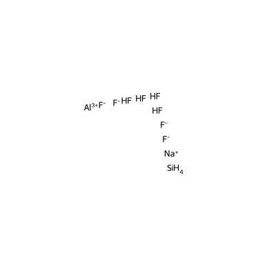 F.F.F.F.[Al+3].[F-].[F-].[F-].[F-].[Na+].[SiH4]